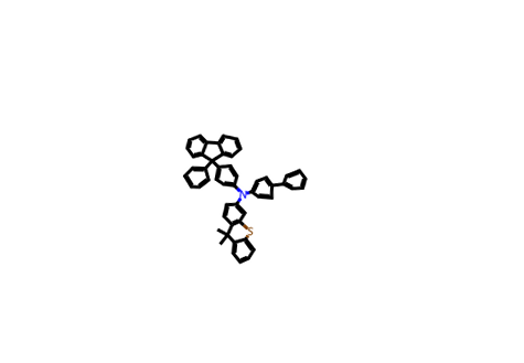 CC1(C)c2ccccc2Sc2cc(N(c3ccc(-c4ccccc4)cc3)c3ccc(C4(c5ccccc5)c5ccccc5-c5ccccc54)cc3)ccc21